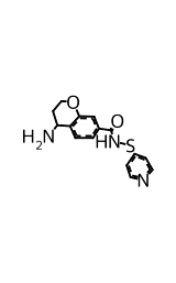 NC1CCOc2cc(C(=O)NSc3ccncc3)ccc21